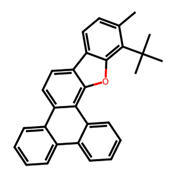 Cc1ccc2c(oc3c2ccc2c4ccccc4c4ccccc4c23)c1C(C)(C)C